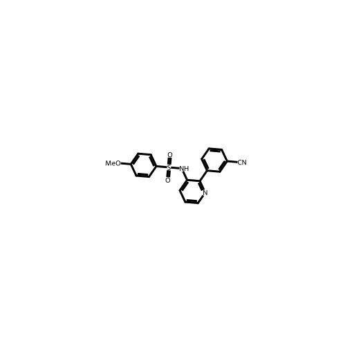 COc1ccc(S(=O)(=O)Nc2cccnc2-c2cccc(C#N)c2)cc1